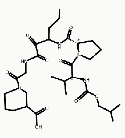 CCCC(NC(=O)[C@@H]1CCCN1C(=O)[C@@H](NC(=O)OCC(C)C)C(C)C)C(=O)C(=O)NCC(=O)N1CCCC(C(=O)O)C1